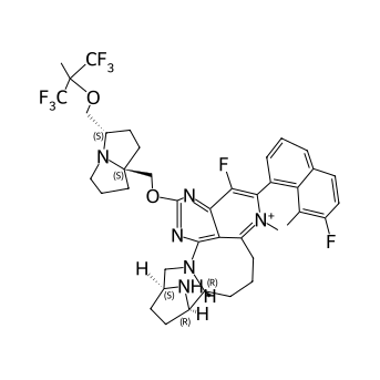 Cc1c(F)ccc2cccc(-c3c(F)c4nc(OC[C@@]56CCCN5[C@H](COC(C)(C(F)(F)F)C(F)(F)F)CC6)nc5c4c([n+]3C)CCC[C@@H]3[C@H]4CC[C@@H](CN53)N4)c12